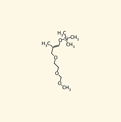 COCOCCOCC(C)=CO[Si](C)(C)C